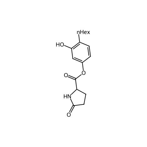 CCCCCCc1ccc(OC(=O)C2CCC(=O)N2)cc1O